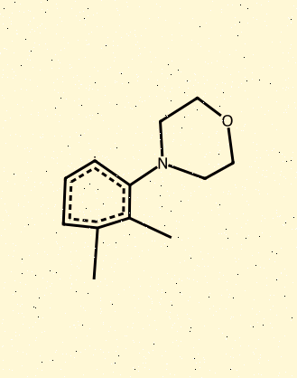 Cc1cc[c]c(N2CCOCC2)c1C